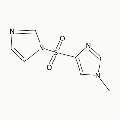 Cn1cnc(S(=O)(=O)n2ccnc2)c1